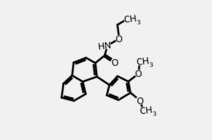 CCONC(=O)c1ccc2ccccc2c1-c1ccc(OC)c(OC)c1